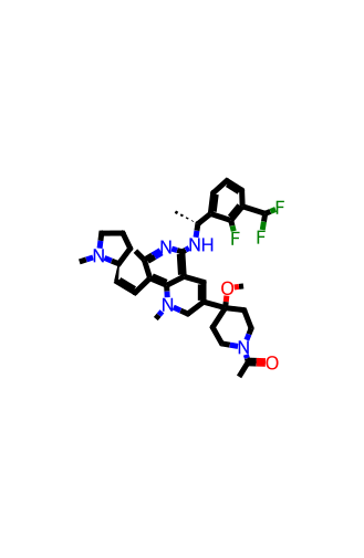 COC1(C2=Cc3c(N[C@H](C)c4cccc(C(F)F)c4F)nc(C)c(/C=C\[C@@H]4CCCN4C)c3N(C)C2)CCN(C(C)=O)CC1